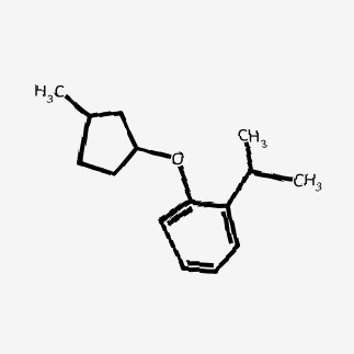 CC1CCC(Oc2ccccc2C(C)C)C1